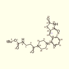 CC(C)(C)OC(=O)NCCC(=O)N1CCN(c2ncccc2/C=C2/SC(=O)NC2=O)CC1